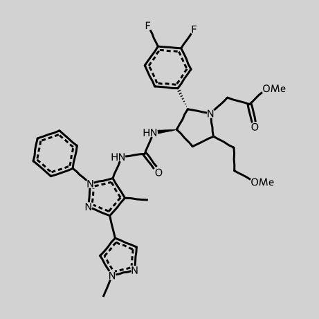 COCCC1C[C@@H](NC(=O)Nc2c(C)c(-c3cnn(C)c3)nn2-c2ccccc2)[C@H](c2ccc(F)c(F)c2)N1CC(=O)OC